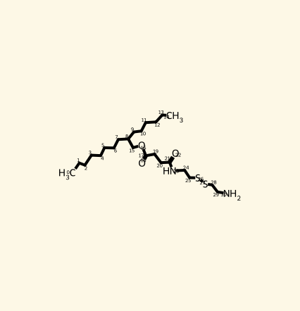 CCCCCCCCC(CCCCCC)COC(=O)CCC(=O)NCCSSCCN